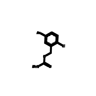 CNC(=O)OCc1cc(C(C)=O)ccc1Cl